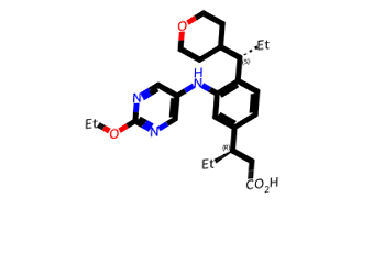 CCOc1ncc(Nc2cc([C@H](CC)CC(=O)O)ccc2[C@@H](CC)C2CCOCC2)cn1